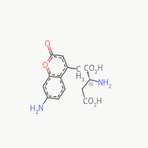 Cc1cc(=O)oc2cc(N)ccc12.N[C@@H](CC(=O)O)C(=O)O